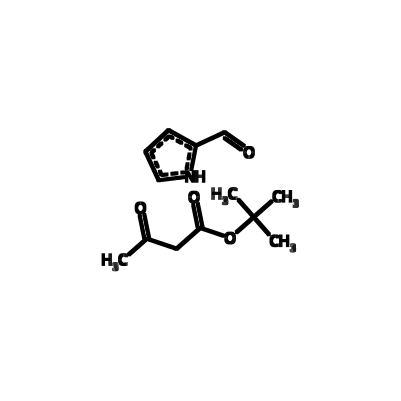 CC(=O)CC(=O)OC(C)(C)C.O=Cc1ccc[nH]1